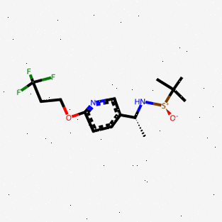 C[C@@H](N[S@+]([O-])C(C)(C)C)c1ccc(OCCC(F)(F)F)nc1